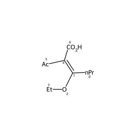 CCCC(OCC)=C(C(C)=O)C(=O)O